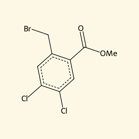 COC(=O)c1cc(Cl)c(Cl)cc1CBr